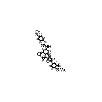 CCSc1ccc(CC(=O)Nc2cc(Cl)c(C3(c4ncc(-c5ccc(OC)c(F)c5)o4)CC3)c(Cl)c2)cc1